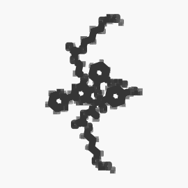 COc1ccccc1Oc1c(OCCOC(=O)OCCCCO[N+](=O)[O-])nc(-c2ncccn2)nc1N(C(C)OC(=O)OCCCCO[N+](=O)[O-])S(=O)(=O)c1ccc(C(C)(C)C)cc1